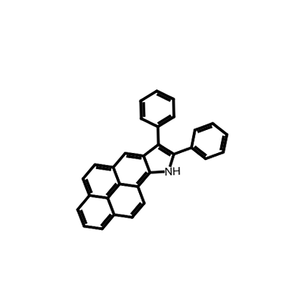 c1ccc(-c2[nH]c3c(cc4ccc5cccc6ccc3c4c56)c2-c2ccccc2)cc1